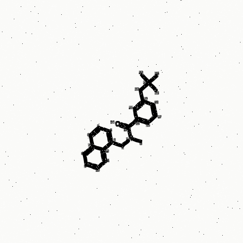 CN(Cc1cccc2ccccc12)C(=O)c1cccc(CC(C)(C)C)c1